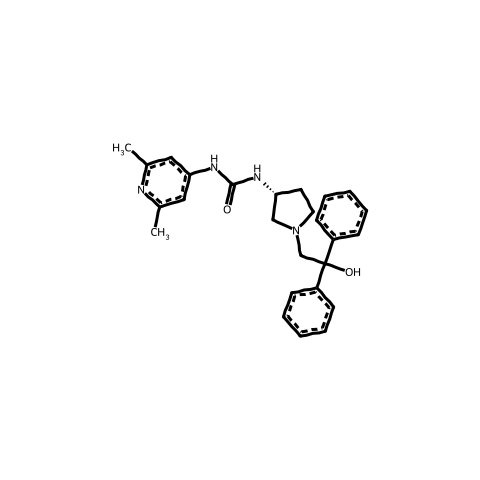 Cc1cc(NC(=O)N[C@@H]2CCN(CC(O)(c3ccccc3)c3ccccc3)C2)cc(C)n1